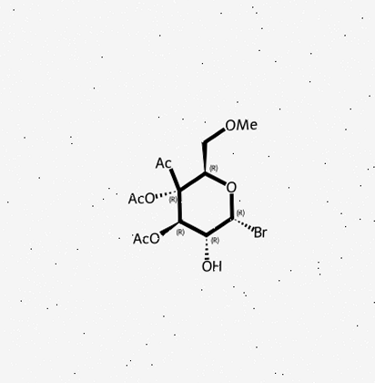 COC[C@H]1O[C@H](Br)[C@H](O)[C@@H](OC(C)=O)[C@@]1(OC(C)=O)C(C)=O